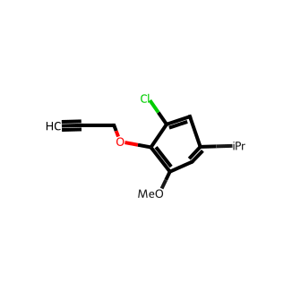 C#CCOc1c(Cl)cc(C(C)C)cc1OC